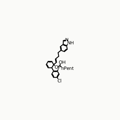 CCCCCC(O)OC1(C=CCCc2ccc3[nH]ncc3c2)C=CC=CC1c1ccc(Cl)cc1F